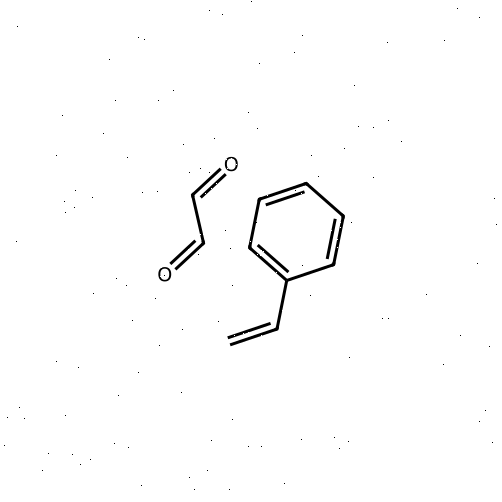 C=Cc1ccccc1.O=CC=O